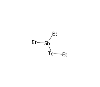 CC[Te][Sb]([CH2]C)[CH2]C